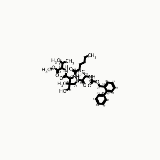 CCCCCC(=O)NC(C(=O)NC(C(=O)OC)C(C)C)C(C)(CO)CNC(=O)[C@H](C)NC(=O)OCc1ccccc1-c1ccccc1